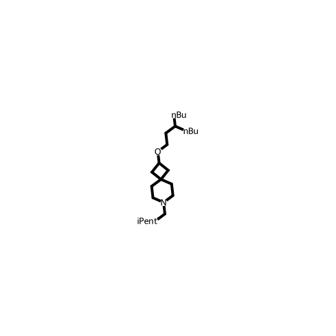 CCCCC(CCCC)CCOC1CC2(CCN(CC(C)CCC)CC2)C1